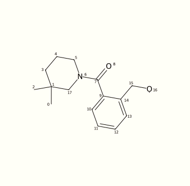 CC1(C)CCCN(C(=O)c2ccccc2C[O])C1